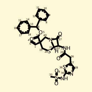 C=CC1(C(=O)OC(c2ccccc2)c2ccccc2)CS[C@@H]2C(NC(=O)Cc3cnc(NS(C)(=O)=O)s3)C(=O)N2C1